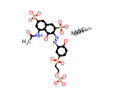 CC(=O)Nc1cc(S(=O)(=O)[O-])cc2cc(S(=O)(=O)[O-])c(N=Nc3cc(S(=O)(=O)CCOS(=O)(=O)[O-])ccc3[O-])c([O-])c12.[Cu+2].[Na+].[Na+].[Na+]